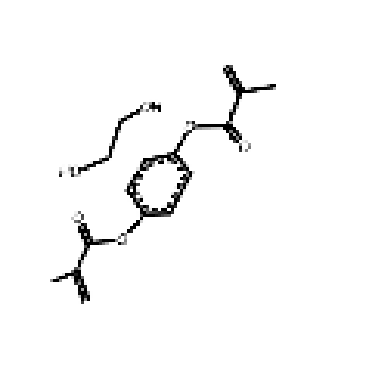 C=C(C)C(=O)Oc1ccc(OC(=O)C(=C)C)cc1.OCCO